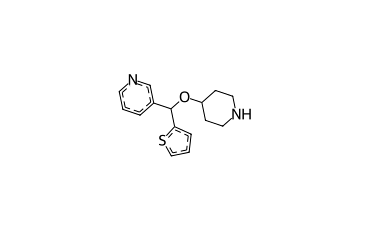 c1cncc(C(OC2CCNCC2)c2cccs2)c1